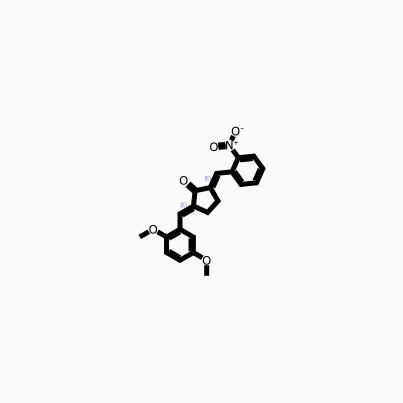 COc1ccc(OC)c(/C=C2\CC/C(=C\c3ccccc3[N+](=O)[O-])C2=O)c1